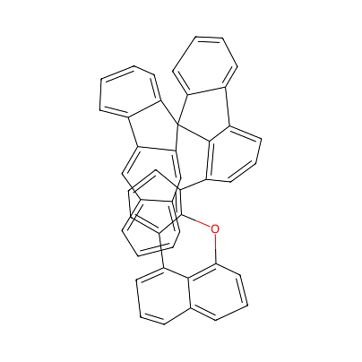 c1ccc2c(c1)-c1cc3ccccc3cc1C21c2ccccc2-c2cccc(-c3cccc4c3Oc3cccc5cccc-4c35)c21